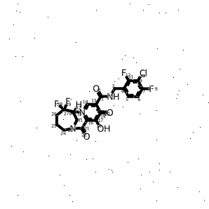 O=C(NCc1ccc(F)c(Cl)c1F)c1cn2c(c(O)c1=O)C(=O)N1CCCC(F)(F)[C@H]2C1